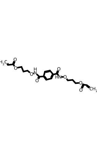 C=CC(=O)OCCCONC(=O)c1ccc(C(=O)NOCCCOC(=O)C=C)cc1